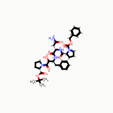 CC(C)(C)OC(=O)[C@@H]1CCCN1C(=O)C(O)[C@H](Cc1ccccc1)NC(=O)[C@H](CC(N)=O)NC(=O)[C@@H]1CCCN1C(=O)OCc1ccccc1